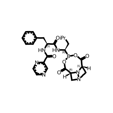 CC(C)C[C@H](NC(=O)[C@H](Cc1ccccc1)NC(=O)c1cnccn1)B1OC(=O)[C@H]2CN3C[C@@H](C(=O)O1)N23